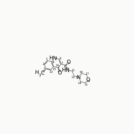 Cc1ccc2[nH]cc(C(=O)NCCN3CCOCC3)c(=O)c2c1